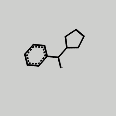 [CH2]C(c1ccccc1)C1CCCC1